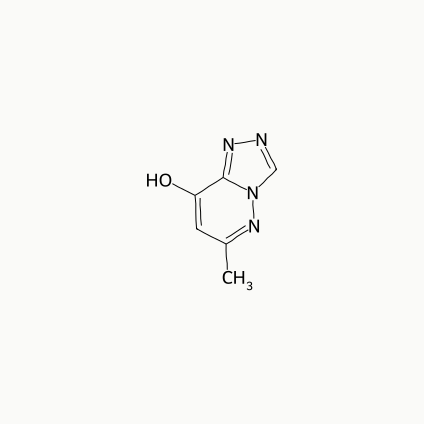 Cc1cc(O)c2nncn2n1